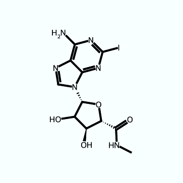 CNC(=O)[C@H]1O[C@@H](n2cnc3c(N)nc(I)nc32)C(O)[C@@H]1O